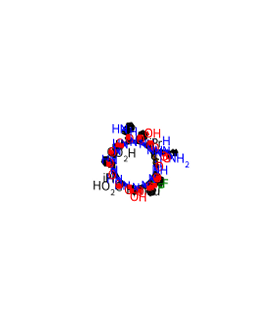 C=C(C)C[C@H](NC(=O)CNC(=O)[C@@H]1CSCC(=O)N[C@@H](Cc2cc(F)c(F)c(F)c2)C(=O)N(C)[C@@H](Cc2ccccc2)C(=O)N(C)[C@@H](CCCC)C(=O)N2C[C@H](O)C[C@@H]2C(=O)N[C@@H](CC(=O)O)C(=O)N[C@@H](C(C)C)C(=O)N(C)[C@@H](Cc2ccccc2)C(=O)N[C@@H](CC(=O)O)C(=O)N2CCC[C@@H]2C(=O)N[C@@H](CCc2c[nH]c3ccccc23)C(=O)N[C@@H](Cc2ccc(O)cc2)C(=O)N[C@@H](CC(C)C)C(=O)N1)C(N)=O